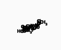 Cc1ccc(N(CCCN2CC3CN(C(=O)c4c(C)cc(=O)n(CC(=O)O)c4C)CC3C2)C(=O)C2CCC(F)(F)CC2)cc1Cl